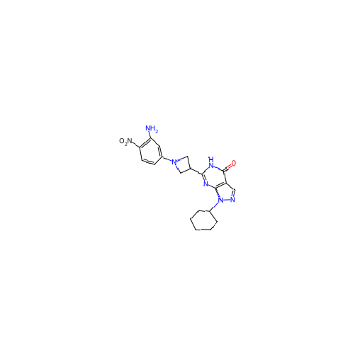 Nc1cc(N2CC(c3nc4c(cnn4C4CCCCC4)c(=O)[nH]3)C2)ccc1[N+](=O)[O-]